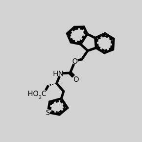 O=C(O)C[C@@H](Cc1ccsc1)NC(=O)OCC1c2ccccc2-c2ccccc21